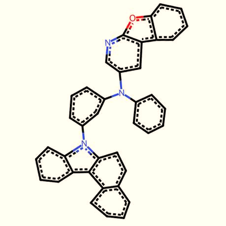 c1ccc(N(c2cccc(-n3c4ccccc4c4c5ccccc5ccc43)c2)c2cnc3oc4ccccc4c3c2)cc1